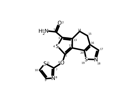 NC(=O)c1sc(Oc2nccs2)c2c1CCc1cnsc1-2